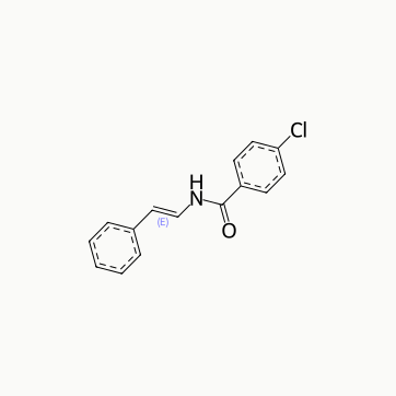 O=C(N/C=C/c1ccccc1)c1ccc(Cl)cc1